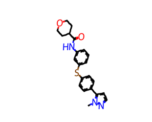 Cn1nccc1-c1ccc(Sc2cccc(NC(=O)C3CCOCC3)c2)cc1